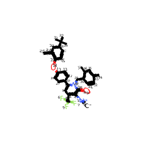 [C-]#[N+]c1c(C(F)(F)F)cc(-c2ccc(Oc3ccc(C(C)(C)C)cc3C)cc2)n(Cc2ccc(C)cc2C)c1=O